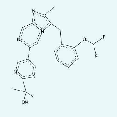 Cc1nc2cnc(-c3cnc(C(C)(C)O)nc3)cn2c1Cc1ccccc1OC(F)F